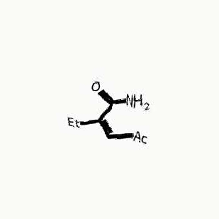 CCC(=CC(C)=O)C(N)=O